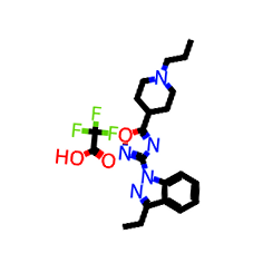 CCCN1CCC(c2nc(-n3nc(CC)c4ccccc43)no2)CC1.O=C(O)C(F)(F)F